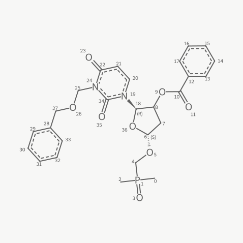 CP(C)(=O)CO[C@H]1CC(OC(=O)c2ccccc2)[C@H](n2ccc(=O)n(COCc3ccccc3)c2=O)O1